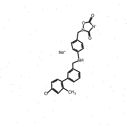 Cc1cc(Cl)ccc1-c1cccc(CNc2ccc(Cn3oc(=O)[n-]c3=O)cc2)c1.[Na+]